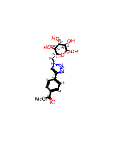 COC(=O)c1ccc(-c2cn(C[C@H]3OC(O)[C@H](O)[C@@H](O)[C@@H]3O)nn2)cc1